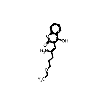 CCOCCC/C(N)=C/c1c(O)c2ccccc2oc1=O